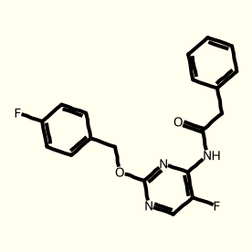 O=C(Cc1ccccc1)Nc1nc(OCc2ccc(F)cc2)ncc1F